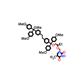 CC[C@@H](COC(c1ccc(CCc2ccc(C(OC)(c3ccc(OC)cc3)c3ccc(OC)cc3)cc2)cc1)(c1ccc(OC)cc1)c1ccc(OC)cc1)OCn1cc(C)c(=O)[nH]c1=O